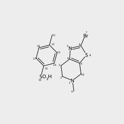 CN1CCc2nc(Br)sc2C1.Cc1ccc(S(=O)(=O)O)cc1